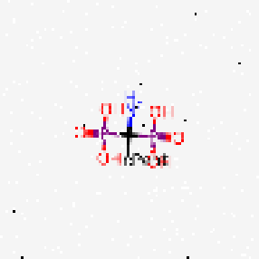 CCCCCC(N)(P(=O)(O)O)P(=O)(O)O